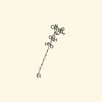 CCC=CCC=CCC=CCC=CCC=CCC=CCCC(=O)NCCNC(=O)OCCCCn1c(Cn2c(=O)n(C3CC3)c3ccncc32)nc2ccccc21